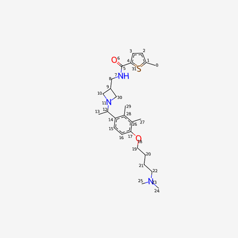 Cc1ccc(C(=O)NCC2CN(C(C)c3ccc(OCCCCN(C)C)c(C)c3C)C2)s1